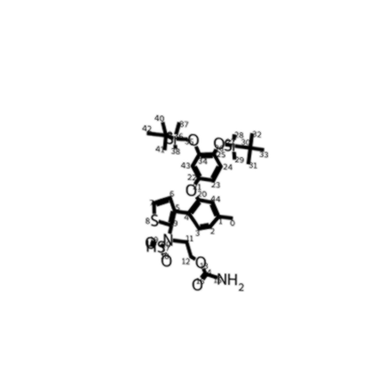 Cc1ccc(-c2ccsc2N(CCOC(N)=O)[SH](=O)=O)c(Oc2ccc(O[Si](C)(C)C(C)(C)C)c(O[Si](C)(C)C(C)(C)C)c2)c1